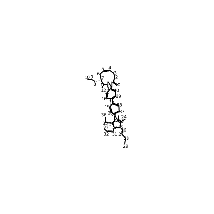 C=C1CC/C=C\C[C@@H](CCC)C(C)N1c1ccc(-c2ccc(N3C(C)C(CCCC)C(/C=C\C)C3CC)cc2)cc1